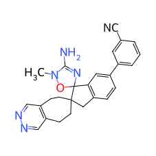 CN1OC2(N=C1N)c1cc(-c3cccc(C#N)c3)ccc1CC21CCc2cnncc2CC1